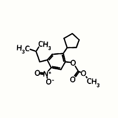 COC(=O)Oc1cc([N+](=O)[O-])c(CC(C)C)cc1C1CCCC1